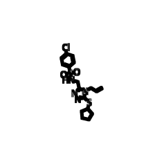 C=CCn1c(CNS(=O)(=O)c2ccc(Cl)cc2)nnc1SC1CCCC1